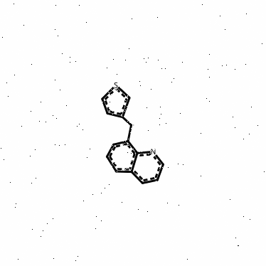 [CH](c1ccsc1)c1cccc2cccnc12